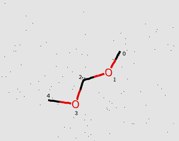 CO[C]OC